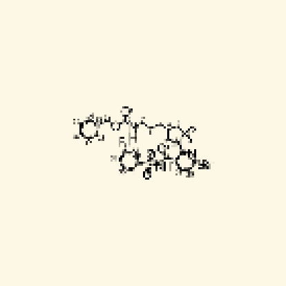 CC1(C)C[C@H](CCCNC(=O)OCc2ccccc2)CN1c1nc(Br)ccc1C(=O)NS(=O)(=O)c1cccc(F)n1